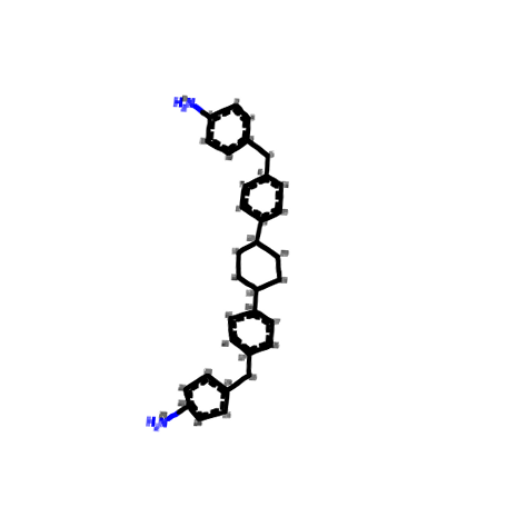 Nc1ccc(Cc2ccc(C3CCC(c4ccc(Cc5ccc(N)cc5)cc4)CC3)cc2)cc1